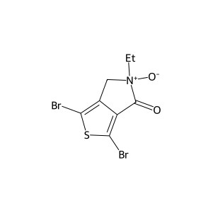 CC[N+]1([O-])Cc2c(Br)sc(Br)c2C1=O